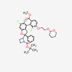 COC(=O)c1ccc(OCCOC2CCCCO2)c(F)c1-c1c(Cl)c(F)cc2c1C[C@](c1ccccc1)(C1CCN1C(=O)OC(C)(C)C)O2